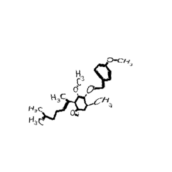 COc1ccc(CO[C@H]2[C@@H](OC)[C@H](C(C)=CCCC(C)C)[C@@]3(CO3)C[C@@H]2C)cc1